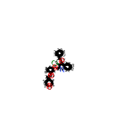 Clc1c(COc2cccc(OCC3CCOCC3)c2)nc2ccccc2c1OCc1ccccc1